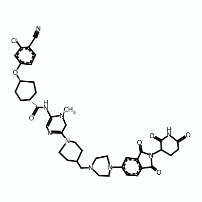 CN1CC(N2CCC(CN3CCN(c4ccc5c(c4)C(=O)N(C4CCC(=O)NC4=O)C5=O)CC3)CC2)=NC=C1NC(=O)[C@H]1CC[C@H](Oc2ccc(C#N)c(Cl)c2)CC1